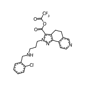 O=C(OC(=O)C(F)(F)F)c1c2c(nn1CCCNCc1ccccc1Cl)-c1ccncc1CC2